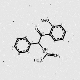 C=CC(=O)O.COc1ccccc1C(=O)C(O)c1ccccc1